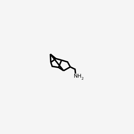 NCC1CC2C3CC4C2C4C13